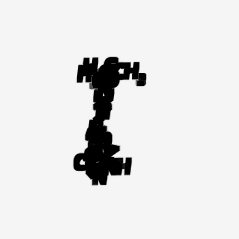 CC(C)(C)OC(=O)N1CCC2(CC1)CN(CCN1CCN(c3cccc(C4(C5CC5)CNc5nccc(Cl)c54)c3)C(=O)C1)C2